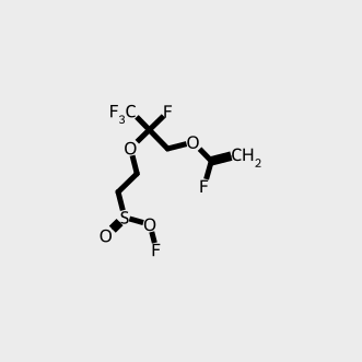 C=C(F)OCC(F)(OCCS(=O)OF)C(F)(F)F